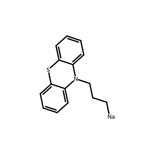 [Na][CH2]CCN1c2ccccc2Sc2ccccc21